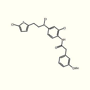 CCN(CCc1ccc(Cl)s1)c1ccc(NC(=O)Cc2cccc(OC)c2)c(Cl)c1